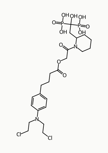 O=C(CCCc1ccc(N(CCCl)CCCl)cc1)OCC(=O)N1CCCCC1CC(O)(P(=O)(O)O)P(=O)(O)O